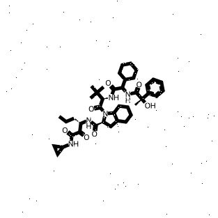 CCC[C@H](NC(=O)[C@@H]1CC2CCCCC2N1C(=O)[C@@H](NC(=O)C(NC(=O)[C@@](C)(O)c1ccccc1)C1CCCCC1)C(C)(C)C)C(=O)C(=O)NC1CC1